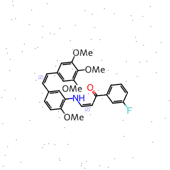 COc1ccc(/C=C\c2cc(OC)c(OC)c(OC)c2)cc1N/C=C\C(=O)c1cccc(F)c1